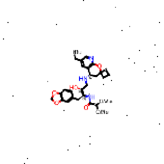 COC(OC)C(=O)N[C@@H](Cc1ccc2c(c1)OCO2)[C@@H](O)CN[C@H]1CC2(CCC2)Oc2ncc(CC(C)(C)C)cc21